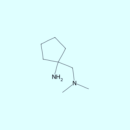 CN(C)CC1(N)CCCC1